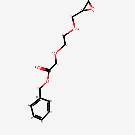 O=C(COCCOCC1CO1)OCc1ccccc1